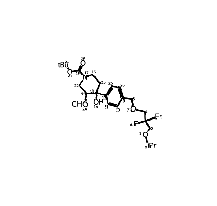 CC(C)OCC(F)(F)COCc1ccc(C2(O)CCN(C(=O)OC(C)(C)C)CC2C=O)cc1